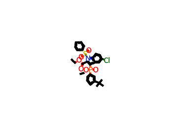 CCOC(=O)c1c(P(=O)(OCC)c2cccc(C(C)(C)C)c2)c2cc(Cl)ccc2n1S(=O)(=O)c1ccccc1